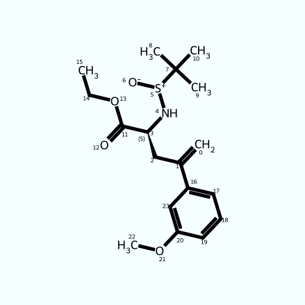 C=C(C[C@H](N[S+]([O-])C(C)(C)C)C(=O)OCC)c1cccc(OC)c1